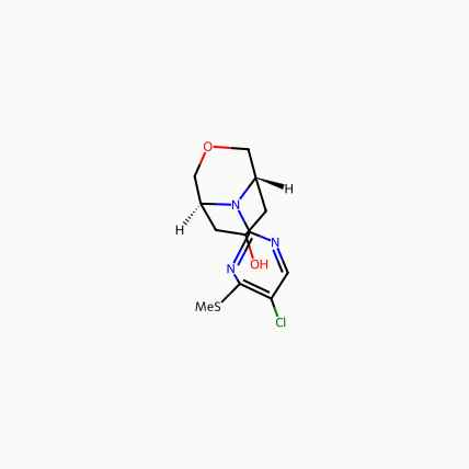 CSc1nc(N2[C@@H]3COC[C@@H]2CC(O)C3)ncc1Cl